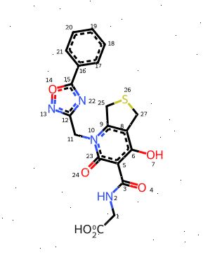 O=C(O)CNC(=O)c1c(O)c2c(n(Cc3noc(-c4ccccc4)n3)c1=O)CSC2